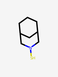 SN1CC2CCCC(C2)C1